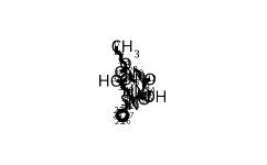 CCCCOC(=O)N1CCN(C(=O)[C@H](CO)NC(=O)c2nc(-c3ccccc3)sc2CCC(=O)O)CC1